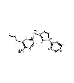 C=CCc1cc(Nc2ccn(-c3ccccc3)n2)ccc1O